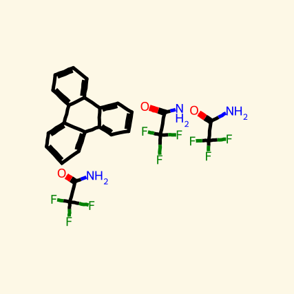 NC(=O)C(F)(F)F.NC(=O)C(F)(F)F.NC(=O)C(F)(F)F.c1ccc2c(c1)c1ccccc1c1ccccc21